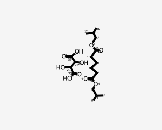 CC(C)COC(=O)CCCCC(=O)OCC(C)C.O=C(O)C(O)C(O)C(=O)O